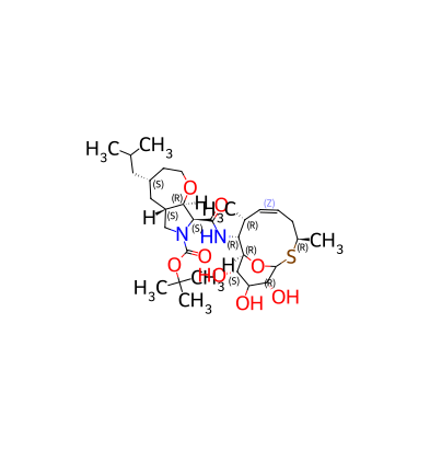 CC(C)C[C@@H]1CCO[C@@H]2[C@@H](C1)CN(C(=O)OC(C)(C)C)[C@@H]2C(=O)N[C@H]1[C@H]2OC(S[C@H](C)C/C=C\[C@H]1C)[C@H](O)C(O)[C@@H]2O